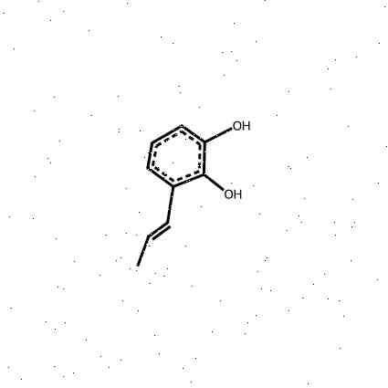 C/C=C/c1cccc(O)c1O